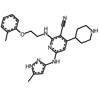 Cc1cc(Nc2cc(C3CCNCC3)c(C#N)c(NCCOc3ccccc3C)n2)n[nH]1